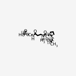 [13CH3][15N]([13CH3])[13CH2][13CH]1CCC[15N]1[13CH2]C(=O)NCCC(=O)NC[13CH2][13C](=O)O